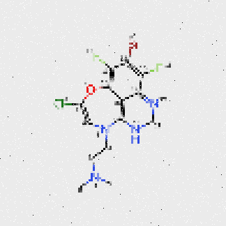 CN(C)CCN1C=C(Cl)Oc2c(F)c(Br)c(F)c3c2=C1NCN=3